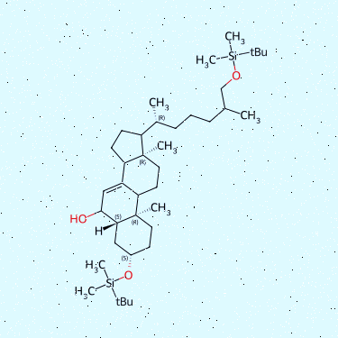 CC(CCC[C@@H](C)C1CCC2C3=CC(O)[C@H]4C[C@@H](O[Si](C)(C)C(C)(C)C)CC[C@]4(C)C3CC[C@@]21C)CO[Si](C)(C)C(C)(C)C